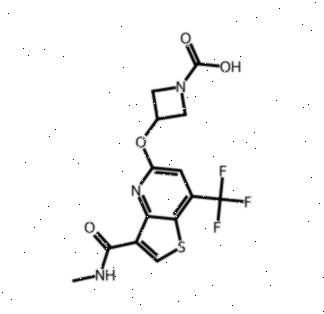 CNC(=O)c1csc2c(C(F)(F)F)cc(OC3CN(C(=O)O)C3)nc12